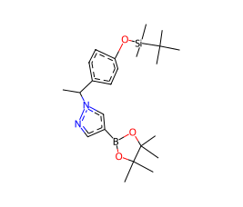 CC(c1ccc(O[Si](C)(C)C(C)(C)C)cc1)n1cc(B2OC(C)(C)C(C)(C)O2)cn1